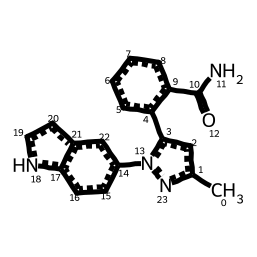 Cc1cc(-c2ccccc2C(N)=O)n(-c2ccc3[nH]ccc3c2)n1